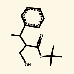 CC(c1ccccc1)C(CO)C(=O)OC(C)(C)C